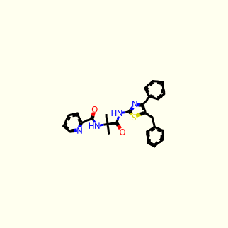 CC(C)(NC(=O)c1ccccn1)C(=O)Nc1nc(-c2ccccc2)c(Cc2ccccc2)s1